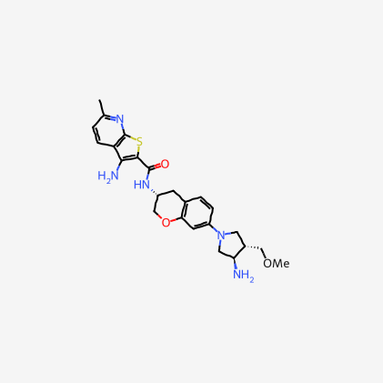 COC[C@H]1CN(c2ccc3c(c2)OC[C@H](NC(=O)c2sc4nc(C)ccc4c2N)C3)C[C@@H]1N